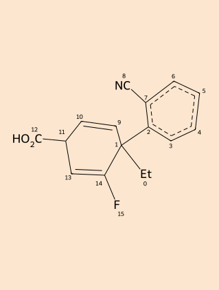 CCC1(c2ccccc2C#N)C=CC(C(=O)O)C=C1F